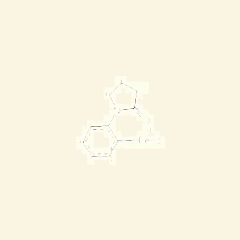 CCCCCc1ccccc1N1CCCC1=O